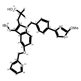 COc1nc(-c2ccc(Cn3c(CC(C)(C)C(=O)O)c(SC(C)(C)C)c4cc(OCc5ccccn5)ccc43)cc2)cs1